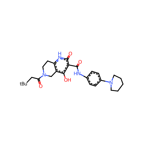 CC(C)(C)CC(=O)N1CCc2[nH]c(=O)c(C(=O)Nc3ccc(N4CCCCC4)cc3)c(O)c2C1